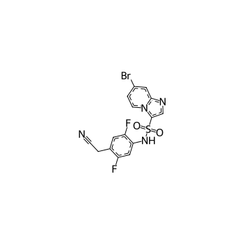 N#CCc1cc(F)c(NS(=O)(=O)c2cnc3cc(Br)ccn23)cc1F